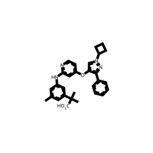 Cc1cc(Nc2cc(Oc3cn(C4CCC4)nc3-c3ccccc3)ccn2)cc(C(C)(C)C(=O)O)c1